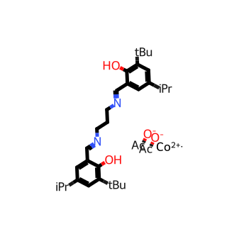 CC(=O)[O-].CC(=O)[O-].CC(C)c1cc(C=NCCCN=Cc2cc(C(C)C)cc(C(C)(C)C)c2O)c(O)c(C(C)(C)C)c1.[Co+2]